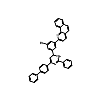 Brc1cc(-c2ccc3ccc4cccnc4c3n2)cc(C2C=C(c3ccc(-c4ccccc4)cc3)N=C(c3ccccc3)N2)c1